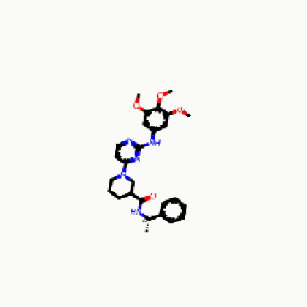 COc1cc(Nc2nccc(N3CCCC(C(=O)N[C@@H](C)c4ccccc4)C3)n2)cc(OC)c1OC